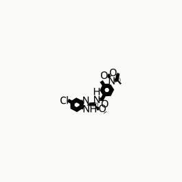 COC[C@H](NC(=O)c1ccc(N2C(=O)OC[C@H]2C)c(C)c1)c1nc2cc(Cl)ccc2[nH]1